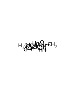 C=CCNC(=O)NC1CC[C@H]2[C@@H]3CC[C@H]4N(C)C(=O)CC[C@]4(C)[C@H]3CC[C@]12C